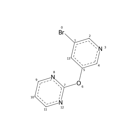 Brc1cncc(Oc2ncccn2)c1